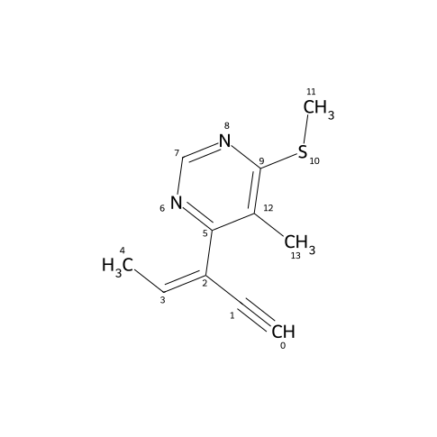 C#C/C(=C/C)c1ncnc(SC)c1C